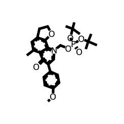 COc1ccc(-c2cn(COP(=O)(OC(C)(C)C)OC(C)(C)C)c3c4c(cc(C)c3c2=O)CCO4)cc1